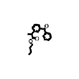 CCCCOC(=O)C(C)c1cccc(C(=O)c2ccccc2)c1